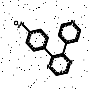 O=[N+]([O-])c1ccc(-c2nccnc2-c2ccncc2)cc1